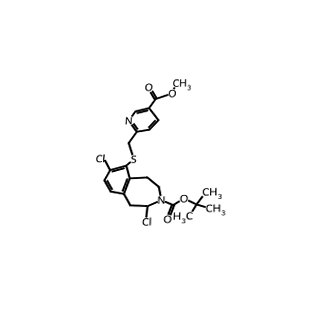 COC(=O)c1ccc(CSc2c(Cl)ccc3c2CCN(C(=O)OC(C)(C)C)C(Cl)C3)nc1